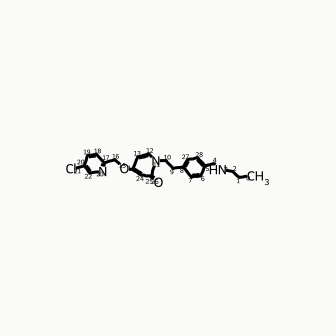 CCCNCc1ccc(CCn2ccc(OCc3ccc(Cl)cn3)cc2=O)cc1